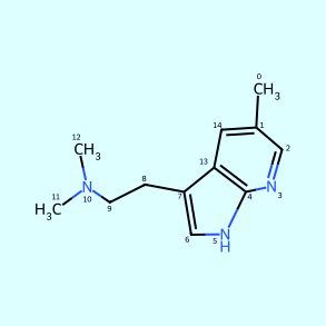 Cc1cnc2[nH]cc(CCN(C)C)c2c1